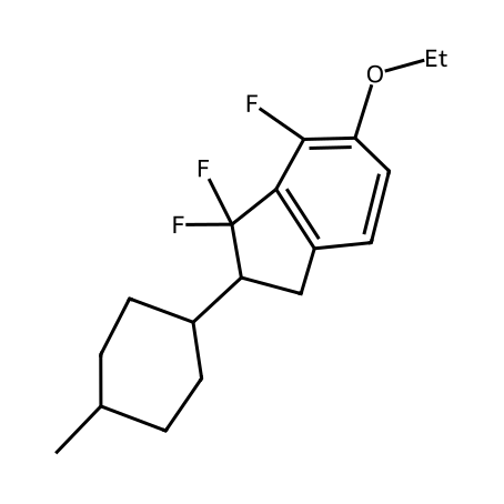 CCOc1ccc2c(c1F)C(F)(F)C(C1CCC(C)CC1)C2